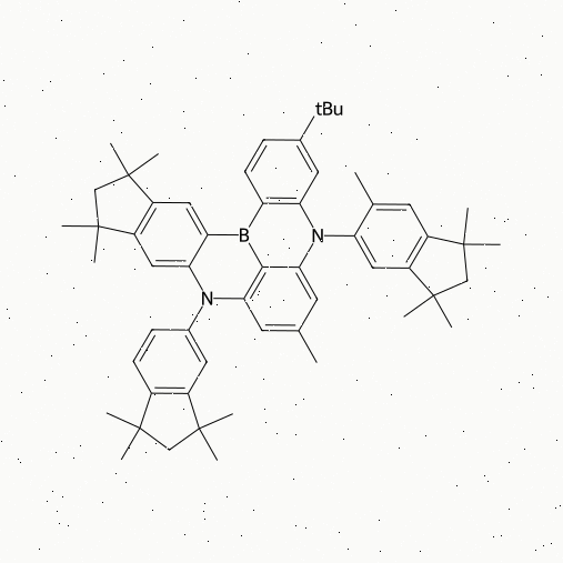 Cc1cc2c3c(c1)N(c1cc4c(cc1C)C(C)(C)CC4(C)C)c1cc(C(C)(C)C)ccc1B3c1cc3c(cc1N2c1ccc2c(c1)C(C)(C)CC2(C)C)C(C)(C)CC3(C)C